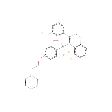 COc1cccc(C2=C(C(OC)(c3ccc(OCCN4CCCCC4)cc3)S(=O)(=O)O)c3ccccc3CC2)c1